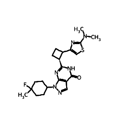 CN(C)c1nc(C2CC[C@@H]2c2nc3c(cnn3C3CCC(C)(F)CC3)c(=O)[nH]2)cs1